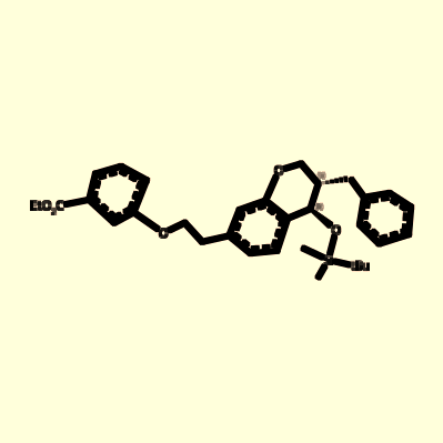 CCOC(=O)c1cccc(OCCc2ccc3c(c2)OC[C@H](Cc2ccccc2)[C@H]3O[Si](C)(C)C(C)(C)C)c1